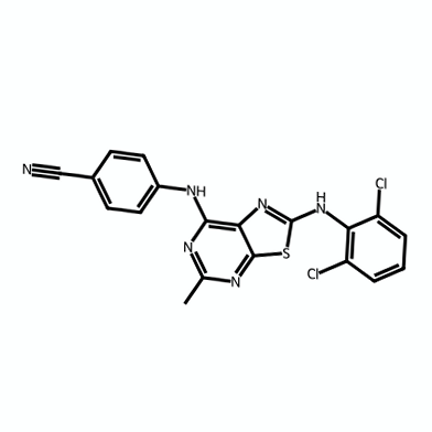 Cc1nc(Nc2ccc(C#N)cc2)c2nc(Nc3c(Cl)cccc3Cl)sc2n1